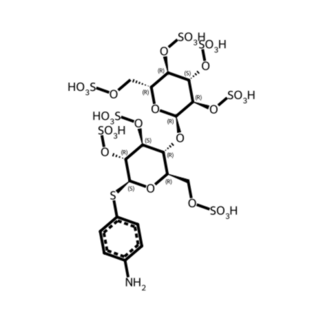 Nc1ccc(S[C@@H]2O[C@H](COS(=O)(=O)O)[C@@H](O[C@H]3O[C@H](COS(=O)(=O)O)[C@@H](OS(=O)(=O)O)[C@H](OS(=O)(=O)O)[C@H]3OS(=O)(=O)O)[C@H](OS(=O)(=O)O)[C@H]2OS(=O)(=O)O)cc1